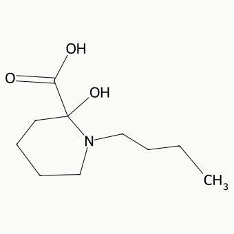 CCCCN1CCCCC1(O)C(=O)O